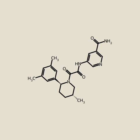 Cc1cc(C)cc([C@@H]2CC[C@@H](C)CN2C(=O)C(=O)Nc2cncc(C(N)=O)c2)c1